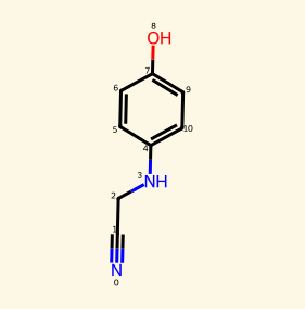 N#CCNc1ccc(O)cc1